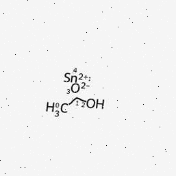 CCO.[O-2].[Sn+2]